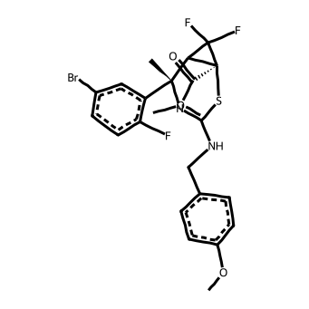 COC(=O)[C@]12SC(NCc3ccc(OC)cc3)=N[C@](C)(c3cc(Br)ccc3F)C1C2(F)F